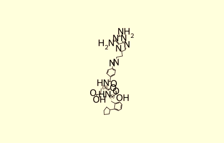 Nc1nc(N)c2nc(CCN=Nc3ccc(C(=O)N[C@@H](CCC(=O)O)C(=O)N[C@@H](Cc4ccccc4C4CCCC4)C(=O)O)cc3)cnc2n1